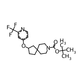 CC(C)(C)OC(=O)N1CCC2(CCC(Oc3ccnc(C(F)(F)F)c3)C2)CC1